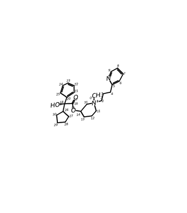 C[N+]1(CCCc2ccccn2)CCCC(OC(=O)C(O)(c2ccccc2)C2CCCC2)C1